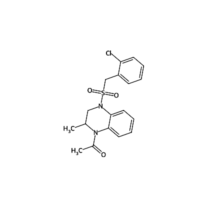 CC(=O)N1c2ccccc2N(S(=O)(=O)Cc2ccccc2Cl)CC1C